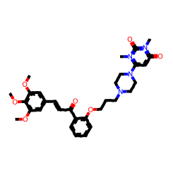 COc1cc(C=CC(=O)c2ccccc2OCCCN2CCN(c3cc(=O)n(C)c(=O)n3C)CC2)cc(OC)c1OC